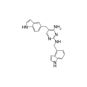 Nc1nc(NCc2cccc3[nH]ccc23)ncc1Cc1ccc2[nH]ccc2c1